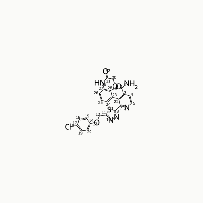 NC(=O)c1ccnc(-c2nnc(COc3ccc(Cl)cc3)s2)c1-c1cccc2c1OCC(=O)N2